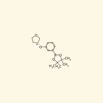 CC1(C)OB(c2cccc(O[C@@H]3CCOC3)c2)OC1(C)C